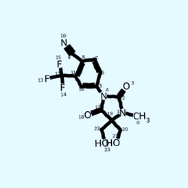 CN1C(=O)N(c2ccc(C#N)c(C(F)(F)F)c2)C(=O)C1(CO)CO